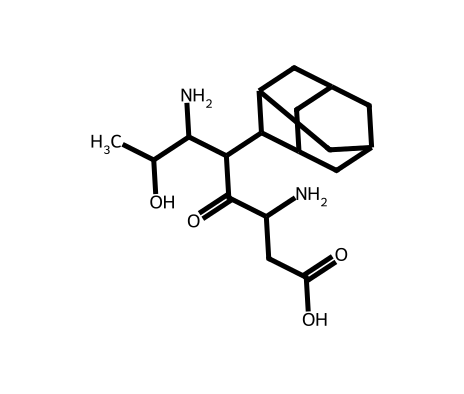 CC(O)C(N)C(C(=O)C(N)CC(=O)O)C1C2CC3CC(C2)CC1C3